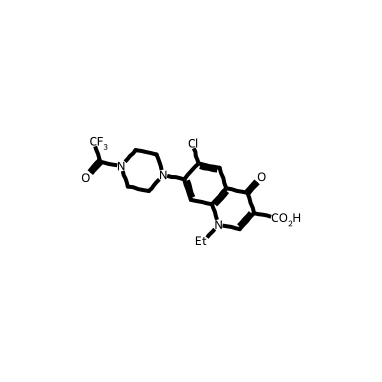 CCn1cc(C(=O)O)c(=O)c2cc(Cl)c(N3CCN(C(=O)C(F)(F)F)CC3)cc21